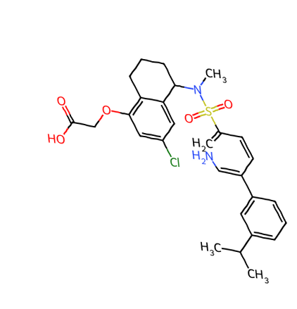 C=C(/C=C\C(=C/N)c1cccc(C(C)C)c1)S(=O)(=O)N(C)C1CCCc2c(OCC(=O)O)cc(Cl)cc21